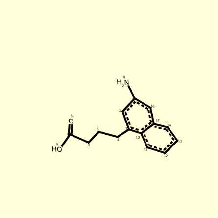 Nc1cc(CCCC(=O)O)c2ccccc2c1